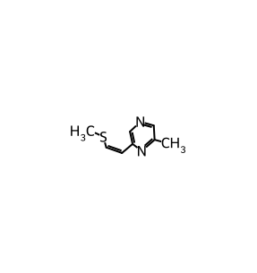 CS/C=C\c1cncc(C)n1